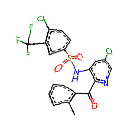 Cc1ccccc1C(=O)c1ncc(Cl)cc1NS(=O)(=O)c1ccc(Cl)c(C(F)(F)F)c1